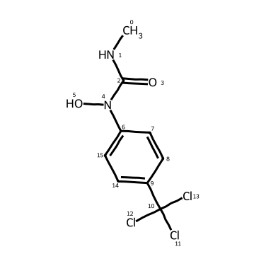 CNC(=O)N(O)c1ccc(C(Cl)(Cl)Cl)cc1